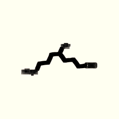 CCCCCCCCCCC(CCC)CCCC=O